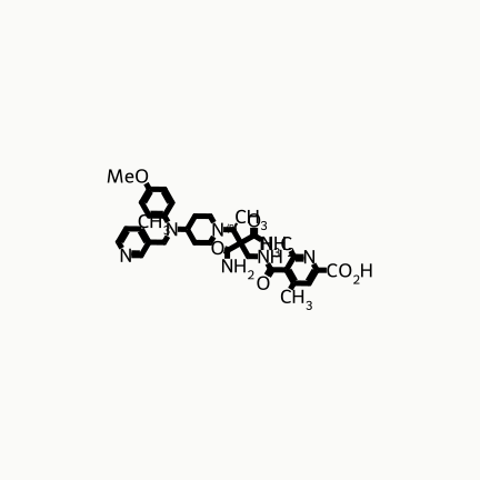 COc1ccc(N(Cc2cnccc2C)C2CCN([C@H](C)C(CNC(=O)c3c(C)cc(C(=O)O)nc3C)(C(N)=O)C(N)=O)CC2)cc1